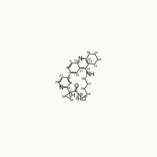 NC(=O)C1(c2cc(-c3ccc4nc5c(c(NCCCCO)c4c3)CCCC5)ccn2)CC1